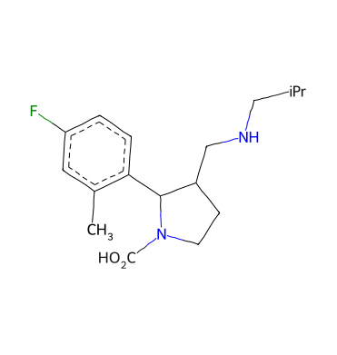 Cc1cc(F)ccc1C1C(CNCC(C)C)CCN1C(=O)O